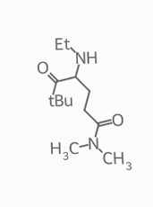 CCNC(CCC(=O)N(C)C)C(=O)C(C)(C)C